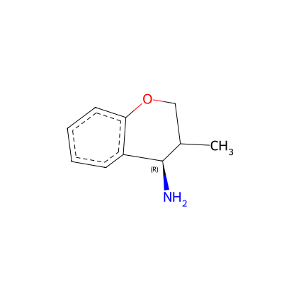 CC1COc2ccccc2[C@@H]1N